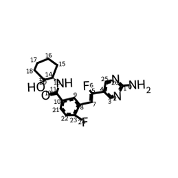 Nc1ncc(/C(F)=C/c2cc(C(=O)N[C@H]3CCCC[C@@H]3O)ccc2F)cn1